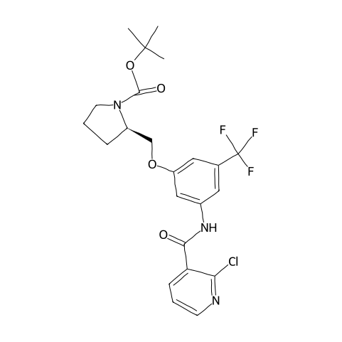 CC(C)(C)OC(=O)N1CCC[C@@H]1COc1cc(NC(=O)c2cccnc2Cl)cc(C(F)(F)F)c1